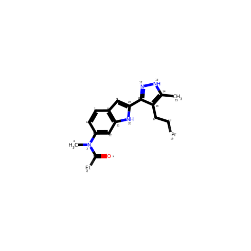 CCC(=O)N(C)c1ccc2cc(-c3n[nH]c(C)c3CCC(C)C)[nH]c2c1